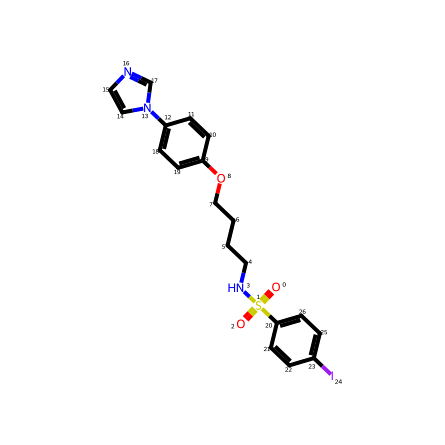 O=S(=O)(NCCCCOc1ccc(-n2ccnc2)cc1)c1ccc(I)cc1